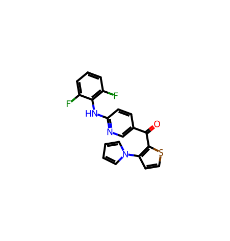 O=C(c1ccc(Nc2c(F)cccc2F)nc1)c1sccc1-n1cccc1